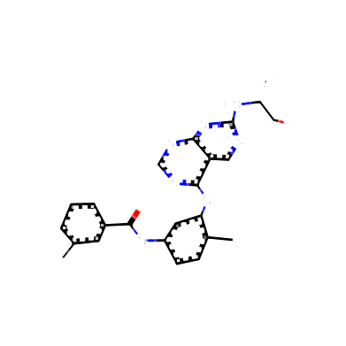 CC[C@H](CO)Nc1ncc2c(Nc3cc(NC(=O)c4cccc(C(F)(F)F)c4)ccc3C)ncnc2n1